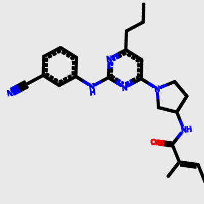 CC=C(C)C(=O)NC1CCN(c2cc(CCC)nc(Nc3cccc(C#N)c3)n2)C1